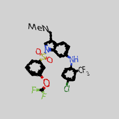 CNCc1cn(S(=O)(=O)c2cccc(OC(F)F)c2)c2cc(Nc3ccc(Cl)cc3C(F)(F)F)ccc12